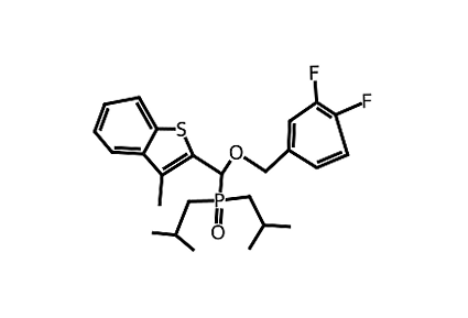 Cc1c(C(OCc2ccc(F)c(F)c2)P(=O)(CC(C)C)CC(C)C)sc2ccccc12